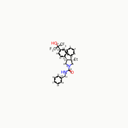 CC[C@]1(c2ccccc2)CN(C(=O)NCc2ccccc2)C[C@H]1c1ccc(C(O)(C(F)(F)F)C(F)(F)F)cc1